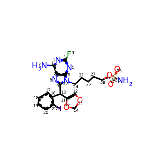 Nc1nc(F)nc2c1nc(C(C1=COCO1)c1ccccc1I)n2CCCCCOS(N)(=O)=O